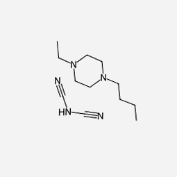 CCCCN1CCN(CC)CC1.N#CNC#N